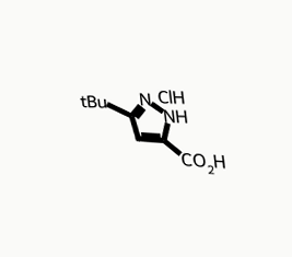 CC(C)(C)c1cc(C(=O)O)[nH]n1.Cl